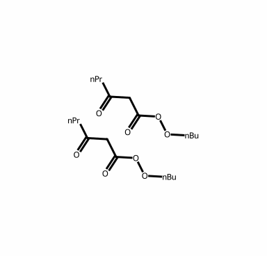 CCCCOOC(=O)CC(=O)CCC.CCCCOOC(=O)CC(=O)CCC